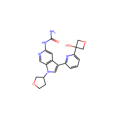 NC(=O)Nc1cc2c(-c3cccc(C4(O)COC4)n3)cn(C3CCOC3)c2cn1